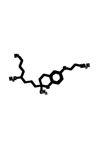 CC(C)CCCC(C)CCCC1(C)CCc2cc(OCCS(=O)(=O)O)ccc2O1